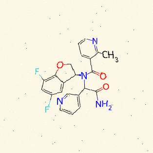 Cc1ncccc1C(=O)N(C(C(N)=O)c1cccnc1)[C@@H]1COc2c(F)cc(F)cc21